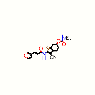 CCN(C)C(=O)OC1CCc2c(sc(NC(=O)C=Cc3ccoc3)c2C#N)C1